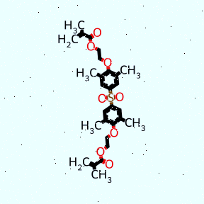 C=C(C)C(=O)OCCOc1c(C)cc(S(=O)(=O)c2cc(C)c(OCCOC(=O)C(=C)C)c(C)c2)cc1C